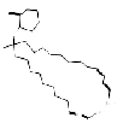 C=C1CCCCC1OC(C)(CCCCCCCCC=C=CCCCCC)CCCCCCCC/C=C\C=C\CCCCC